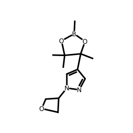 CB1OC(C)(C)C(C)(c2cnn(C3COC3)c2)O1